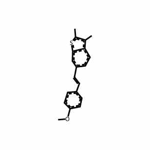 COc1ccc(/C=C/c2ccc3c(C)c(C)sc3c2)cc1